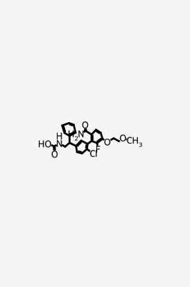 COCCOc1ccc(C(N)=O)c(-c2cc(C(CNC(=O)O)c3ccccc3)ccc2Cl)c1F